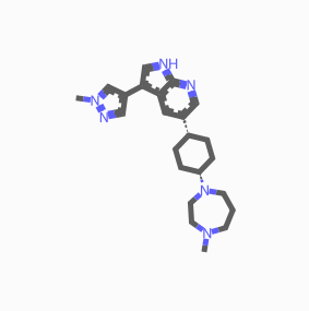 CN1CCCN([C@H]2CC[C@@H](c3cnc4[nH]cc(-c5cnn(C)c5)c4c3)CC2)CC1